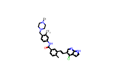 CCN1CCN(Cc2ccc(NC(=O)c3ccc(C)c(C=Cc4cnc5[nH]ccc5c4Cl)c3)cc2C(F)(F)F)CC1